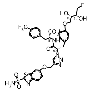 NS(=O)(=O)c1nc2ccc(OCc3cn([C@@H](Cc4ccc(OC[C@H](O)[C@@H](O)CF)cc4)C(=O)N[C@@H](Cc4ccc(C(F)(F)F)cc4)C(=O)O)nn3)cc2s1